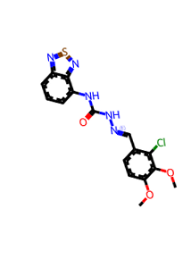 COc1ccc(/C=N/NC(=O)Nc2cccc3nsnc23)c(Cl)c1OC